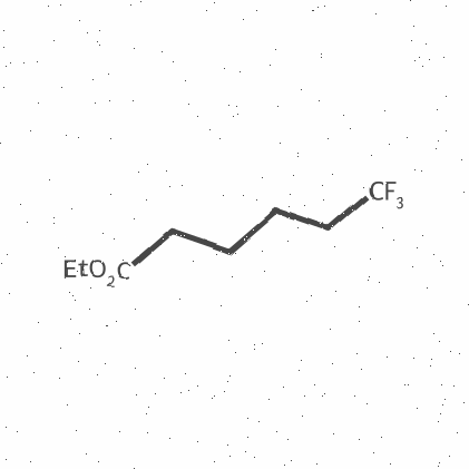 CCOC(=O)CCCCC(F)(F)F